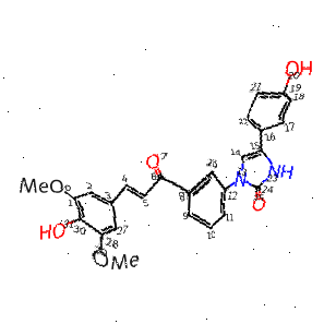 COc1cc(/C=C/C(=O)c2cccc(-n3cc(-c4ccc(O)cc4)[nH]c3=O)c2)cc(OC)c1O